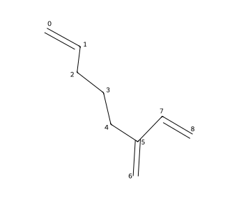 C=CCCCC(=C)C=C